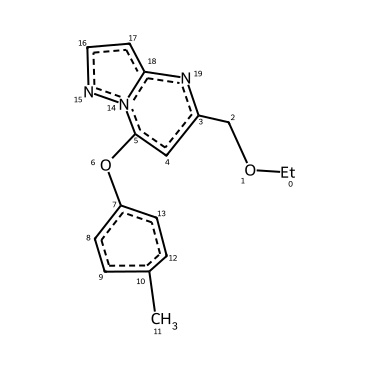 CCOCc1cc(Oc2ccc(C)cc2)n2nccc2n1